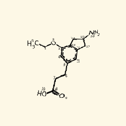 CCOc1cc(CCC(=O)O)cc2c1CC(N)C2